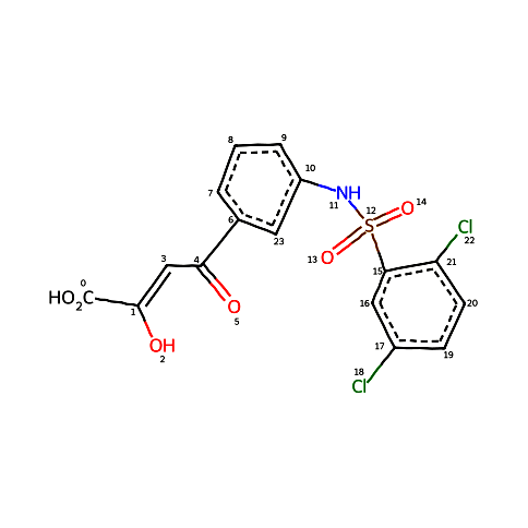 O=C(O)C(O)=CC(=O)c1cccc(NS(=O)(=O)c2cc(Cl)ccc2Cl)c1